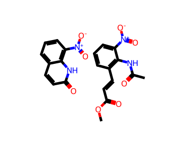 COC(=O)C=Cc1cccc([N+](=O)[O-])c1NC(C)=O.O=c1ccc2cccc([N+](=O)[O-])c2[nH]1